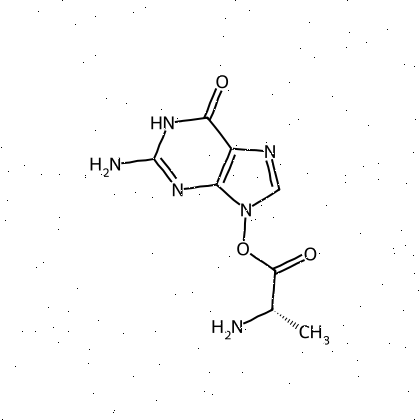 C[C@H](N)C(=O)On1cnc2c(=O)[nH]c(N)nc21